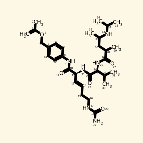 C=C(C)OCc1ccc(NC(=O)[C@H](/C=C/CCNC(N)=O)NC(=O)[C@@H](NC(=O)C(C)CC(C)NC(C)C)C(C)C)cc1